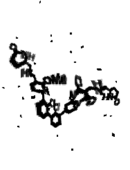 COc1nc(-c2cccc(-c3cccc(-c4ccn5c(=O)c(CNC[C@H]6CCC(=O)N6)c(Cl)nc5c4)c3Cl)c2Cl)ccc1CNC[C@H]1CCC(=O)N1